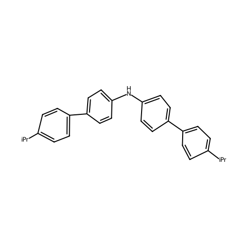 CC(C)c1ccc(-c2ccc(Nc3ccc(-c4ccc(C(C)C)cc4)cc3)cc2)cc1